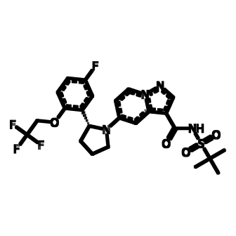 CC(C)(C)S(=O)(=O)NC(=O)c1cnn2ccc(N3CCC[C@@H]3c3cc(F)ccc3OCC(F)(F)F)cc12